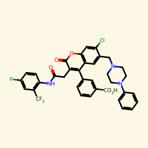 O=C(Cc1c(-c2cccc(C(=O)O)c2)c2cc(CN3CCN(c4ccccc4)CC3)c(Cl)cc2oc1=O)Nc1ccc(F)cc1C(F)(F)F